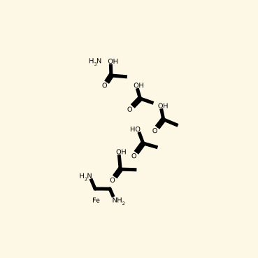 CC(=O)O.CC(=O)O.CC(=O)O.CC(=O)O.CC(=O)O.N.NCCN.[Fe]